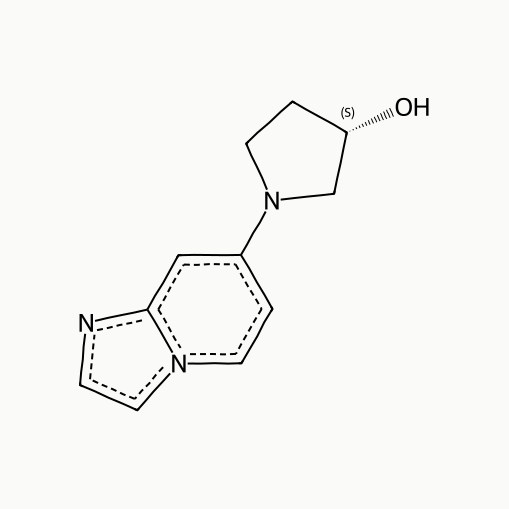 O[C@H]1CCN(c2ccn3ccnc3c2)C1